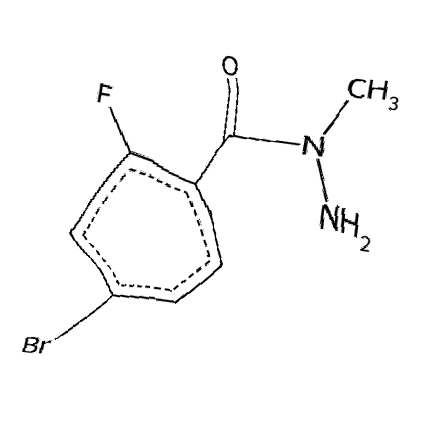 CN(N)C(=O)c1ccc(Br)cc1F